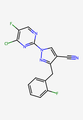 N#Cc1cn(-c2ncc(F)c(Cl)n2)nc1Cc1ccccc1F